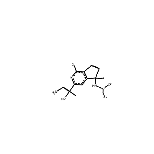 CC(O)(CN)c1cc2c(c(Cl)n1)CCC2(C)N[S+]([O-])C(C)(C)C